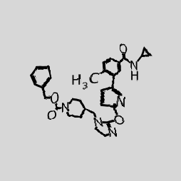 Cc1ccc(C(=O)NC2CC2)cc1-c1ccc(OC2=NCCN2CC2CCN(C(=O)OCc3ccccc3)CC2)nc1